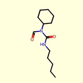 CCCCCNC(=O)N(C=O)C1CCCCC1